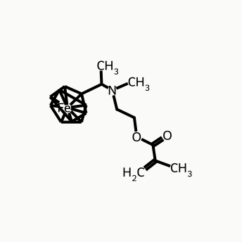 C=C(C)C(=O)OCCN(C)C(C)[C]12[CH]3[CH]4[CH]5[CH]1[Fe]45321678[CH]2[CH]1[CH]6[CH]7[CH]28